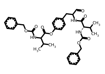 CC(C)C(NC(=O)OCc1ccccc1)C(=O)Oc1ccc(CC(C=O)NC(=O)[C@@H](NC(=O)OCc2ccccc2)C(C)C)cc1